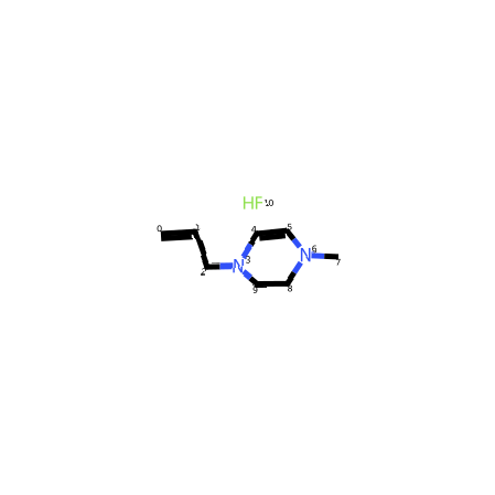 C=CCN1C=CN(C)CC1.F